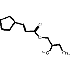 CCC(O)COC(=O)CCC1CCCC1